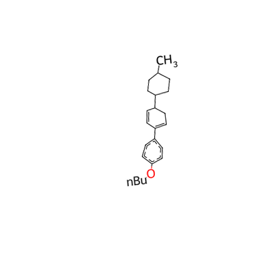 CCCCOc1ccc(C2=CCC(C3CCC(C)CC3)C=C2)cc1